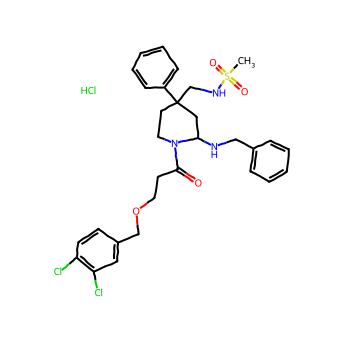 CS(=O)(=O)NCC1(c2ccccc2)CCN(C(=O)CCOCc2ccc(Cl)c(Cl)c2)C(NCc2ccccc2)C1.Cl